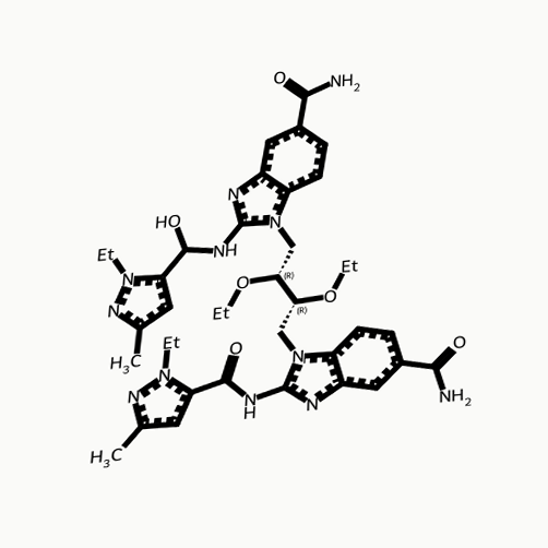 CCO[C@H](Cn1c(NC(=O)c2cc(C)nn2CC)nc2cc(C(N)=O)ccc21)[C@@H](Cn1c(NC(O)c2cc(C)nn2CC)nc2cc(C(N)=O)ccc21)OCC